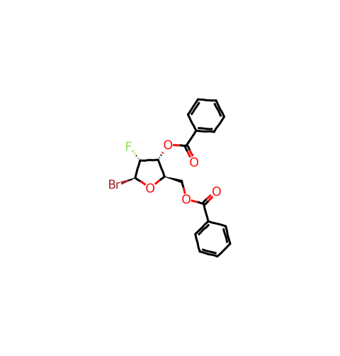 O=C(OC[C@H]1O[C@@H](Br)[C@H](F)[C@@H]1OC(=O)c1ccccc1)c1ccccc1